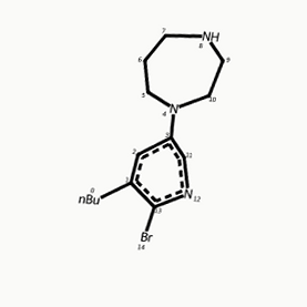 CCCCc1cc(N2CCCNCC2)cnc1Br